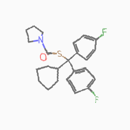 O=C(SC(c1ccc(F)cc1)(c1ccc(F)cc1)C1CCCCC1)N1CCCC1